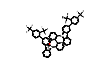 N#Cc1cccc(-n2c3ccccc3c3cc(-c4ccc(C(F)(F)F)cc4C(F)(F)F)ccc32)c1-c1ncccc1-n1c2ccccc2c2cc(-c3ccc(C(F)(F)F)cc3C(F)(F)F)ccc21